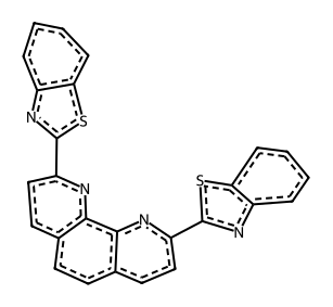 c1ccc2sc(-c3ccc4ccc5ccc(-c6nc7ccccc7s6)nc5c4n3)nc2c1